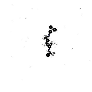 CC1(C)Cc2cc(/C=C/C3=CC(=C(C#N)C#N)c4ccccc4O3)cc3c2N(C1)CC(C)(Cc1ccc2c(c1)C(=C(C#N)C#N)C=C(/C=C/c1ccc(N(c4ccccc4)c4ccccc4)cc1)O2)C3